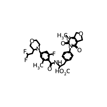 Cc1cc(N2CCOCC2CC(F)F)cc(F)c1C(=O)NC(Cc1ccc(-n2c(=O)c3c(n(C)c2=O)COC3)cc1)C(=O)O